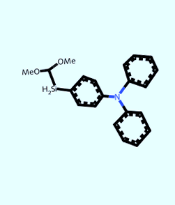 COC(OC)[SiH2]c1ccc(N(c2ccccc2)c2ccccc2)cc1